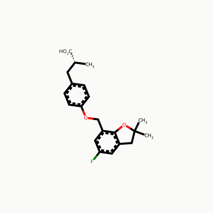 C[C@H](Cc1ccc(OCc2cc(F)cc3c2OC(C)(C)C3)cc1)C(=O)O